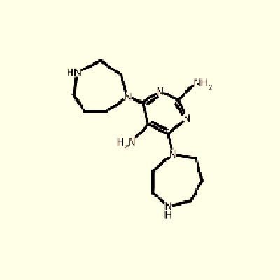 Nc1nc(N2CCCNCC2)c(N)c(N2CCCNCC2)n1